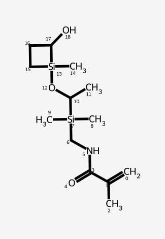 C=C(C)C(=O)NC[Si](C)(C)C(C)O[Si]1(C)CCC1O